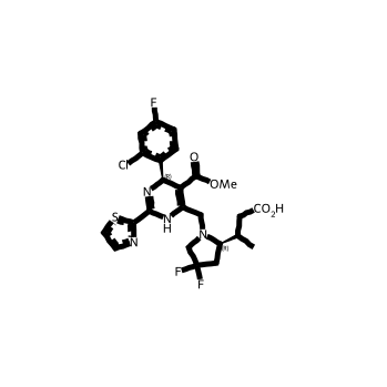 COC(=O)C1=C(CN2CC(F)(F)C[C@@H]2C(C)CC(=O)O)NC(c2nccs2)=N[C@H]1c1ccc(F)cc1Cl